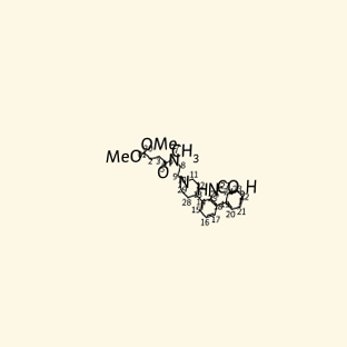 COC(CCC(=O)N(C)CCN1CCC(c2cccc(-c3ccccc3)c2NC(=O)O)CC1)OC